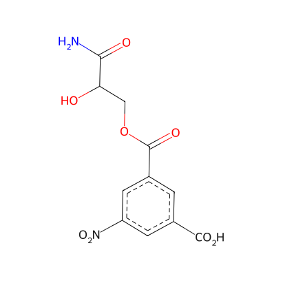 NC(=O)C(O)COC(=O)c1cc(C(=O)O)cc([N+](=O)[O-])c1